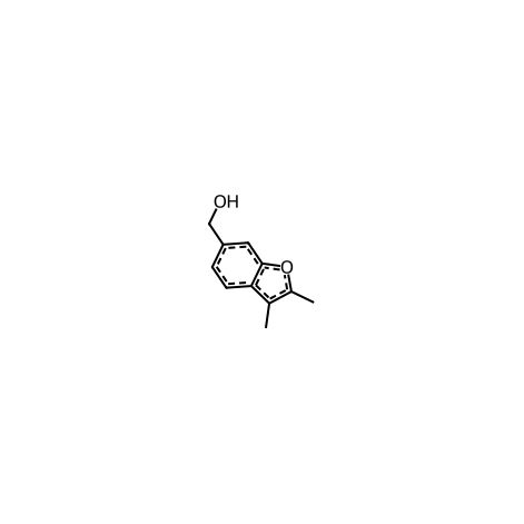 Cc1oc2cc(CO)ccc2c1C